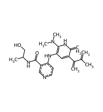 C=C(C)C(=C)C1=CC(Nc2ccncc2C(=O)NC(C)CO)=C(N(C)C)NC1=C